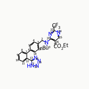 CCCCN(Cc1ccc(-c2ccccc2-c2nnn[nH]2)cc1)c1nc(C(F)(F)F)ncc1C(=O)OCC